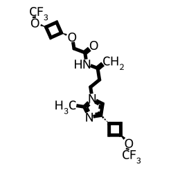 C=C(CCn1cc([C@H]2C[C@H](OC(F)(F)F)C2)nc1C)NC(=O)CO[C@H]1C[C@@H](OC(F)(F)F)C1